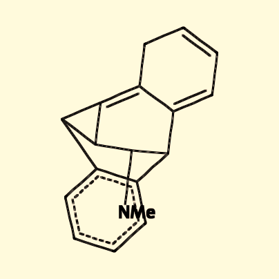 CNC1C2C3=CC=CCC3=C3C(c4ccccc42)C31